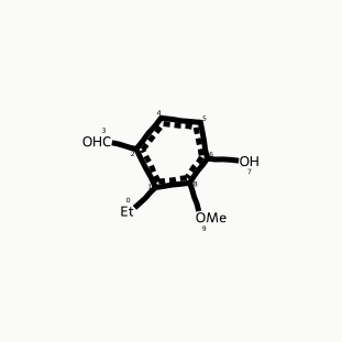 CCc1c(C=O)ccc(O)c1OC